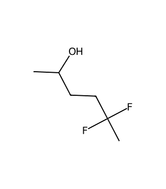 CC(O)CCC(C)(F)F